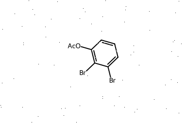 CC(=O)Oc1cccc(Br)c1Br